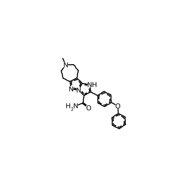 CN1CCc2nn3c(C(N)=O)c(-c4ccc(Oc5ccccc5)cc4)[nH]c3c2CC1